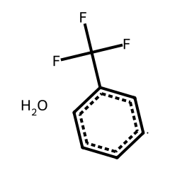 FC(F)(F)c1c[c]ccc1.O